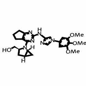 COc1cc(-n2cnc(Nc3nc4c(c(N5[C@H](CO)C[C@H]6C[C@H]65)n3)CCC4)c2)cc(OC)c1OC